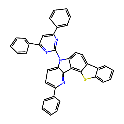 c1ccc(-c2cc(-c3ccccc3)nc(-n3c4ccc(-c5ccccc5)nc4c4c5sc6ccccc6c5ccc43)n2)cc1